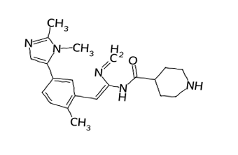 C=N/C(=C\c1cc(-c2cnc(C)n2C)ccc1C)NC(=O)C1CCNCC1